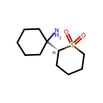 NC1([C@H]2CCCCS2(=O)=O)CCCCC1